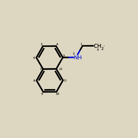 [CH2]CNc1cccc2ccccc12